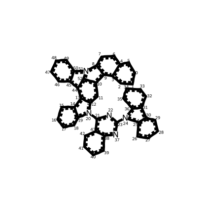 c1ccc2c(c1)ccc1c2c2cc3c(c4ccccc4n3-c3nc(-n4c5ccccc5c5ccccc54)nc4ccccc34)c3c4ccccc4n1c23